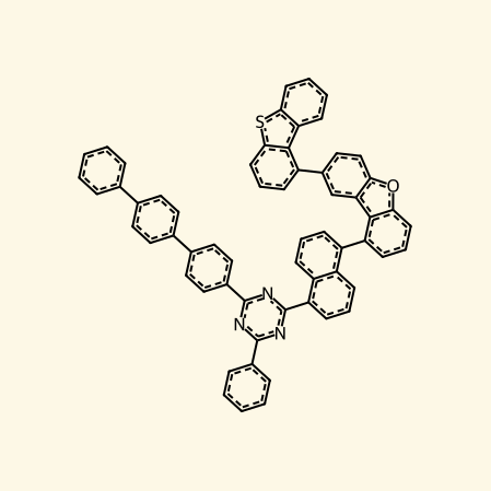 c1ccc(-c2ccc(-c3ccc(-c4nc(-c5ccccc5)nc(-c5cccc6c(-c7cccc8oc9ccc(-c%10cccc%11sc%12ccccc%12c%10%11)cc9c78)cccc56)n4)cc3)cc2)cc1